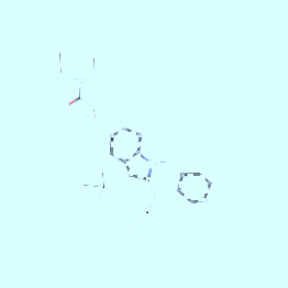 CCN(CC)C(=O)COc1ccc2c(c1)c(SC(C)(C)C)c(CC(C)(C)O)n2Cc1ccc(Cl)cc1